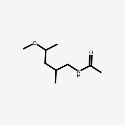 COC(C)CC(C)CNC(C)=O